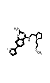 COCCN1CCCC1CNc1nc(N)nc2cc(-c3ccn[nH]3)ccc12